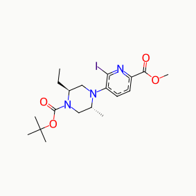 CC[C@H]1CN(c2ccc(C(=O)OC)nc2I)[C@H](C)CN1C(=O)OC(C)(C)C